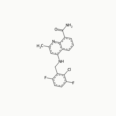 Cc1cc(NCc2c(F)ccc(F)c2Cl)c2cccc(C(N)=O)c2n1